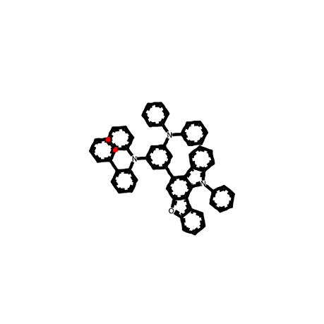 c1ccc(-c2ccccc2N(c2ccccc2)c2cc(-c3cc4oc5ccccc5c4c4c3c3ccccc3n4-c3ccccc3)cc(N(c3ccccc3)c3ccccc3)c2)cc1